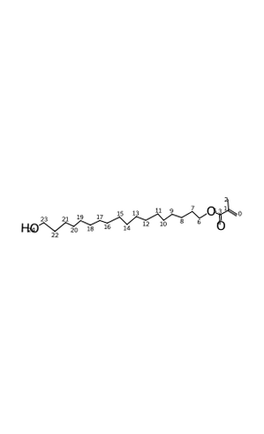 C=C(C)C(=O)OCCCCCCCCCCCCCCCCCCO